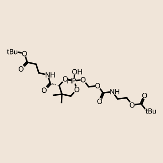 CC(C)(C)OC(=O)CCNC(=O)[C@@H]1O[PH](O)(OCOC(=O)NCCOC(=O)C(C)(C)C)OCC1(C)C